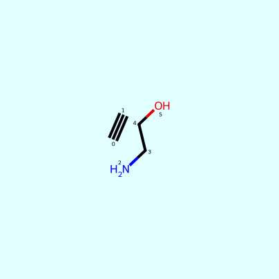 C#C.NCCO